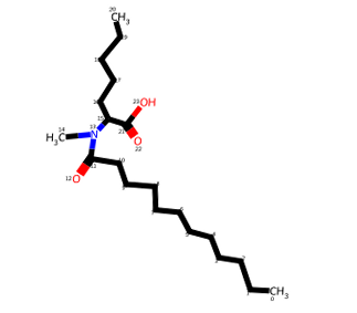 CCCCCCCCCCCC(=O)N(C)C(CCCCC)C(=O)O